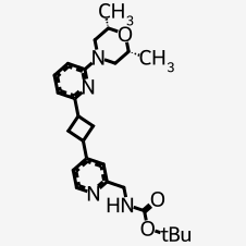 C[C@@H]1CN(c2cccc(C3CC(c4ccnc(CNC(=O)OC(C)(C)C)c4)C3)n2)C[C@H](C)O1